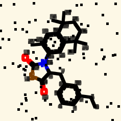 CCc1cccc(CC2C(=O)SC(=O)N2c2cc3c(cc2C)C(C)(C)CCC3(C)C)c1